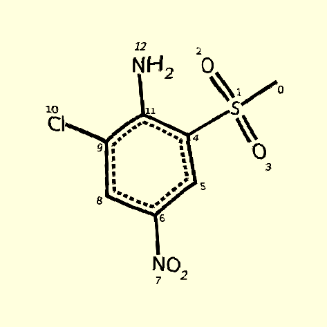 CS(=O)(=O)c1cc([N+](=O)[O-])cc(Cl)c1N